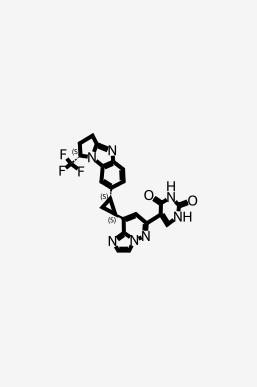 O=c1[nH]cc(-c2cc([C@H]3C[C@@H]3c3ccc4nc5n(c4c3)[C@H](C(F)(F)F)CC5)c3nccn3n2)c(=O)[nH]1